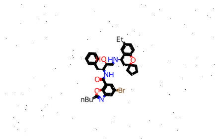 CCCCc1nc2cc(Br)cc(C(=O)N[C@@H](Cc3ccccc3)[C@@H](O)CN[C@H]3CC4(CCCC4)Oc4ccc(CC)cc43)c2o1